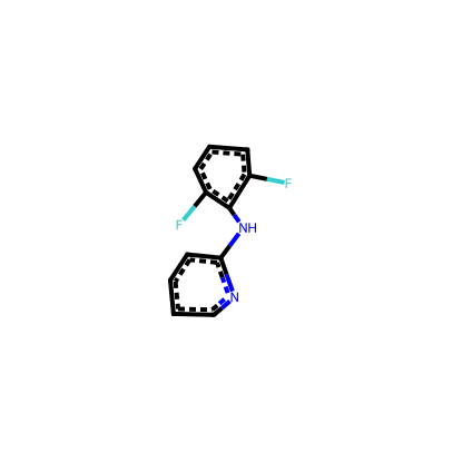 Fc1cccc(F)c1Nc1ccccn1